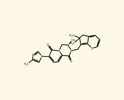 Cc1cn(-c2ccc3n(c2=O)C[C@@H](C)N(CC2=C4OC=CC=C4CC2(C)C)C3=O)cn1